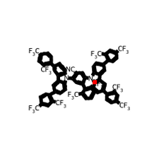 N#Cc1cc(-n2c3ccc(-c4ccc(C(F)(F)F)cc4C(F)(F)F)cc3c3cc(-c4ccc(C(F)(F)F)cc4C(F)(F)F)ccc32)c(-c2c(C(F)(F)F)cccc2C(F)(F)F)cc1-n1c2ccc(-c3ccc(C(F)(F)F)cc3C(F)(F)F)cc2c2cc(-c3ccc(C(F)(F)F)cc3C(F)(F)F)ccc21